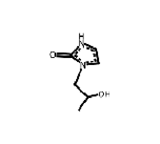 CC(O)Cn1cc[nH]c1=O